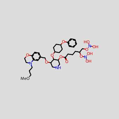 COCCCN1CCOc2ccc(COC3CNCC(OC(=O)CCCC(CON(O)O)ON(O)O)C3OC3CCC(Oc4ccccc4)CC3)cc21